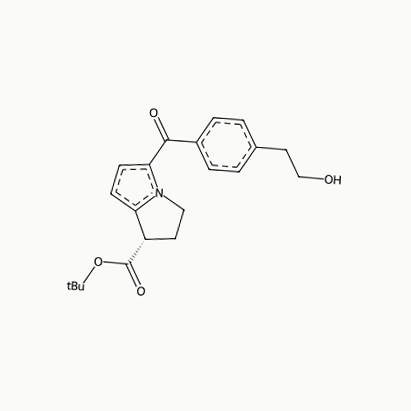 CC(C)(C)OC(=O)[C@H]1CCn2c(C(=O)c3ccc(CCO)cc3)ccc21